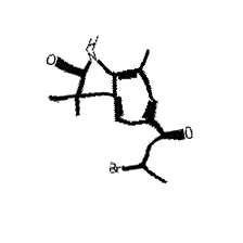 Cc1cc(C(=O)C(C)Br)cc2c1NC(=O)C2(C)C